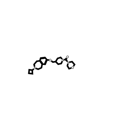 O=C(N1CCOCC1)N1CCC(COc2ccc3c(c2)CCN(C2CCC2)CC3)CC1